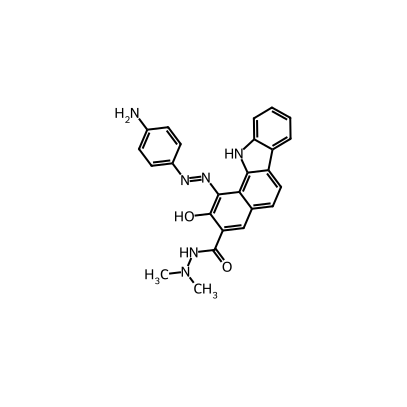 CN(C)NC(=O)c1cc2ccc3c4ccccc4[nH]c3c2c(N=Nc2ccc(N)cc2)c1O